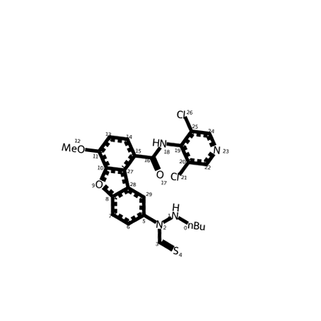 CCCCNN(C=S)c1ccc2oc3c(OC)ccc(C(=O)Nc4c(Cl)cncc4Cl)c3c2c1